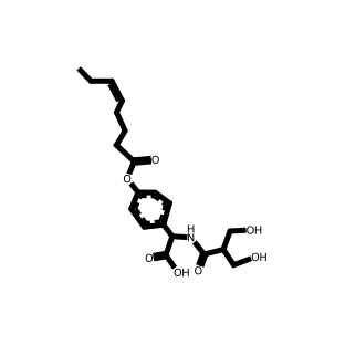 CC/C=C\CCCC(=O)Oc1ccc(C(NC(=O)C(CO)CO)C(=O)O)cc1